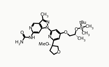 CO[C@@]1(c2cc(OC[C@@H](C)O[Si](C)(C)C(C)(C)C)cc(-n3nc(C)c4cnc(NC(N)=O)cc43)n2)CCOC1